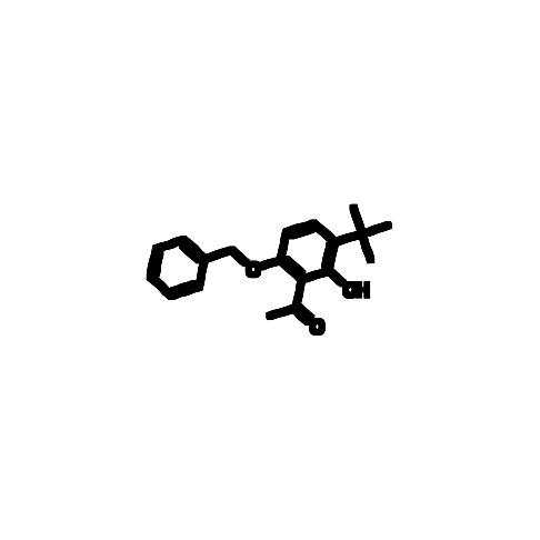 CC(=O)c1c(OCc2ccccc2)ccc(C(C)(C)C)c1O